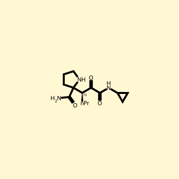 CCC[C@H](C(=O)C(=O)NC1CC1)C1(C(N)=O)CCCN1